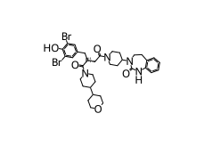 O=C(C[C@H](Cc1cc(Br)c(O)c(Br)c1)C(=O)N1CCC(C2CCOCC2)CC1)N1CCC(N2CCc3ccccc3NC2=O)CC1